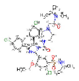 CCOc1cc(Cl)c(S(=O)(=O)NC(C)C)cc1C1=N[C@@H](c2ccc(Cl)cc2)[C@@H](c2ccc(Cl)cc2)N1C(=O)N1CCN(CC(=O)N(C)C(C)C)CC1